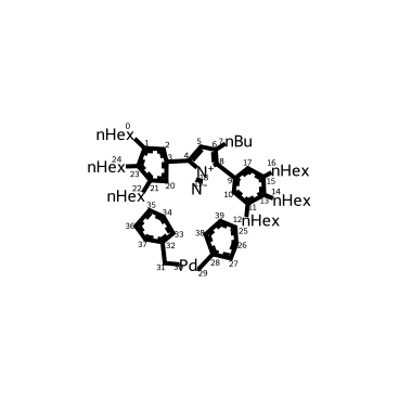 CCCCCCc1cc(C2=CC(CCCC)=C(c3cc(CCCCCC)c(CCCCCC)c(CCCCCC)c3)[N+]2=[N-])cc(CCCCCC)c1CCCCCC.c1ccc([CH2][Pd][CH2]c2ccccc2)cc1